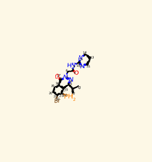 CC(C)c1nn(CC(=O)Nc2ncccn2)c(=O)c2ccc(Br)c(P)c12